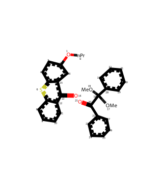 CCCOc1ccc2sc3ccccc3c(=O)c2c1.COC(OC)(C(=O)c1ccccc1)c1ccccc1